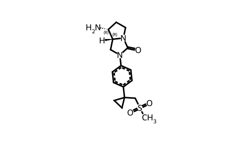 CS(=O)(=O)CC1(c2ccc(N3C[C@@H]4[C@H](N)CCN4C3=O)cc2)CC1